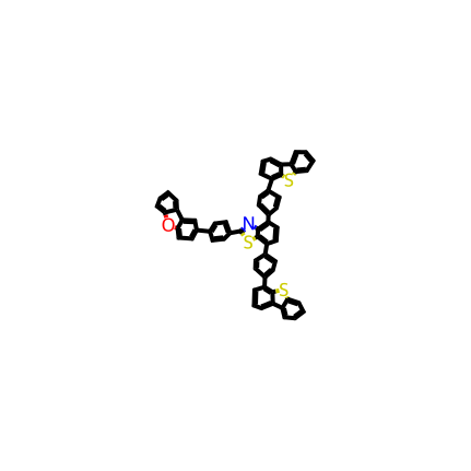 c1ccc2c(c1)oc1ccc(-c3ccc(-c4nc5c(-c6ccc(-c7cccc8c7sc7ccccc78)cc6)ccc(-c6ccc(-c7cccc8c7sc7ccccc78)cc6)c5s4)cc3)cc12